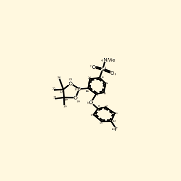 CNS(=O)(=O)c1ccc(Oc2ccc(F)cc2)c(B2OC(C)(C)C(C)(C)O2)c1